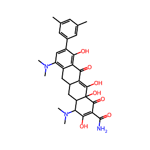 Cc1cc(C)cc(-c2cc(N(C)C)c3c(c2O)C(=O)C2=C(O)C4(O)C(=O)C(C(N)=O)=C(O)C(N(C)C)C4CC2C3)c1